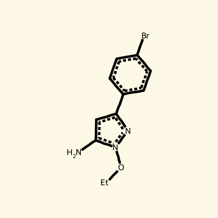 CCOn1nc(-c2ccc(Br)cc2)cc1N